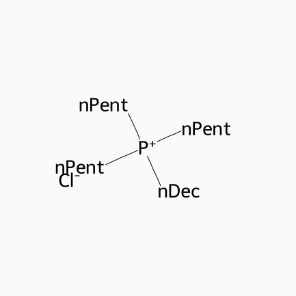 CCCCCCCCCC[P+](CCCCC)(CCCCC)CCCCC.[Cl-]